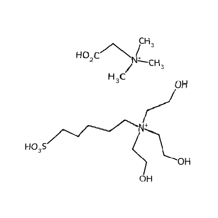 C[N+](C)(C)CC(=O)O.O=S(=O)(O)CCCCC[N+](CCO)(CCO)CCO